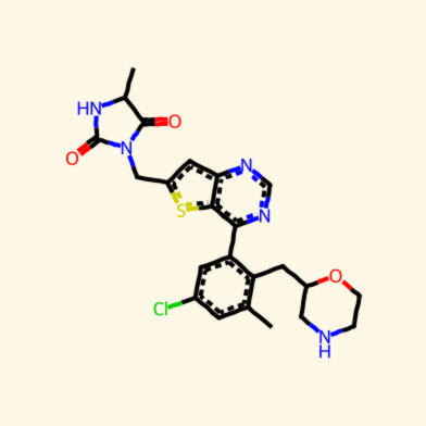 Cc1cc(Cl)cc(-c2ncnc3cc(CN4C(=O)NC(C)C4=O)sc23)c1CC1CNCCO1